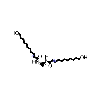 O=C(/C=C/CCCCCCCCO)N[C@H]1C[C@H]1NC(=O)/C=C/CCCCCCCCO